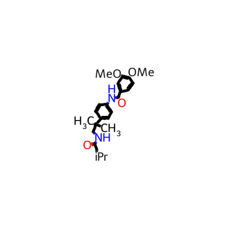 COc1ccc(C(=O)Nc2ccc(C(C)(C)CNC(=O)CC(C)C)cc2)cc1OC